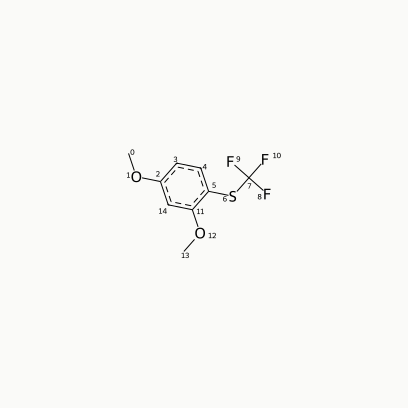 COc1ccc(SC(F)(F)F)c(OC)c1